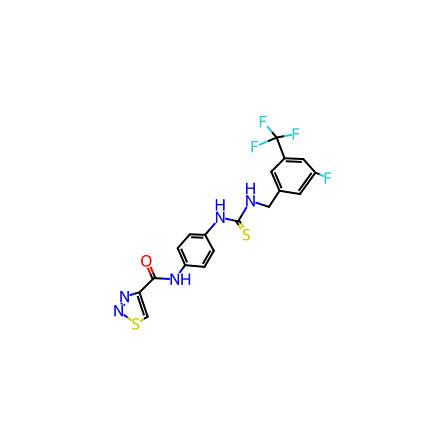 O=C(Nc1ccc(NC(=S)NCc2cc(F)cc(C(F)(F)F)c2)cc1)c1csnn1